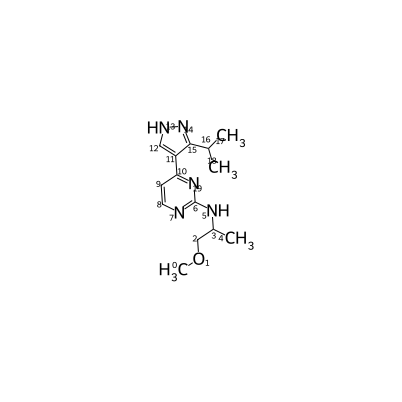 COCC(C)Nc1nccc(-c2c[nH]nc2C(C)C)n1